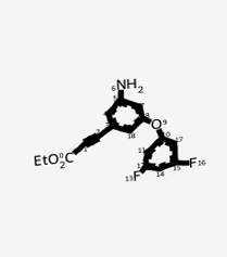 CCOC(=O)C#Cc1cc(N)cc(Oc2cc(F)cc(F)c2)c1